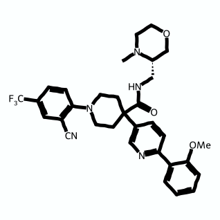 COc1ccccc1-c1ccc(C2(C(=O)NC[C@H]3COCCN3C)CCN(c3ccc(C(F)(F)F)cc3C#N)CC2)cn1